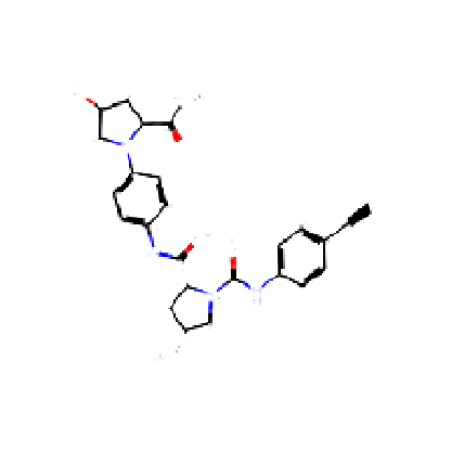 C#Cc1ccc(NC(=O)N2C[C@H](OC)C[C@@H]2C(=O)Nc2ccc(N3CC(O)CC3C(=O)OC)cc2)cc1